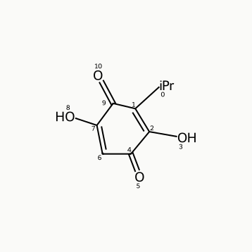 CC(C)C1=C(O)C(=O)C=C(O)C1=O